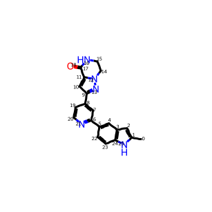 Cc1cc2cc(-c3cc(-c4cc5n(n4)CCNC5=O)ccn3)ccc2[nH]1